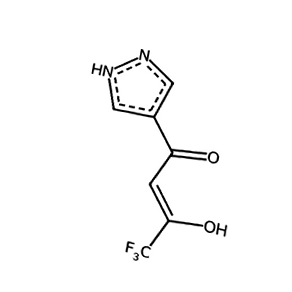 O=C(C=C(O)C(F)(F)F)c1cn[nH]c1